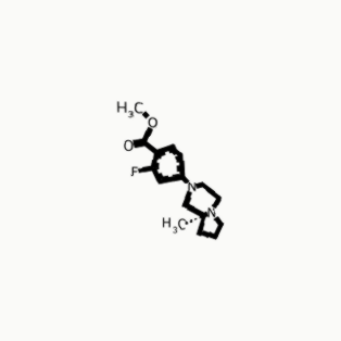 COC(=O)c1ccc(N2CCN3CCC[C@@]3(C)C2)cc1F